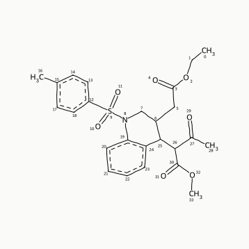 CCOC(=O)CC1CN(S(=O)(=O)c2ccc(C)cc2)c2ccccc2C1C(C(C)=O)C(=O)OC